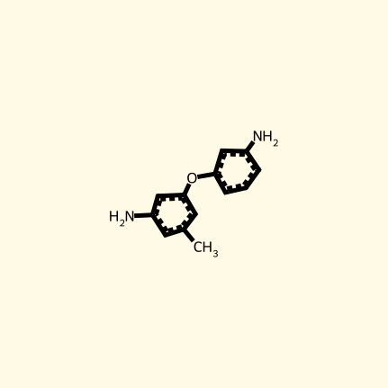 Cc1cc(N)cc(Oc2cccc(N)c2)c1